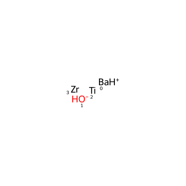 [BaH+].[OH-].[Ti].[Zr]